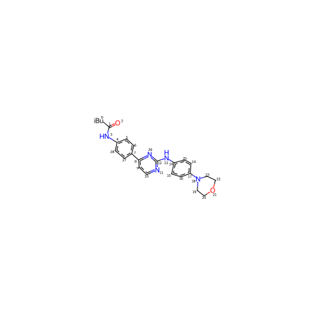 CCC(C)C(=O)Nc1ccc(-c2ccnc(Nc3ccc(N4CCOCC4)cc3)n2)cc1